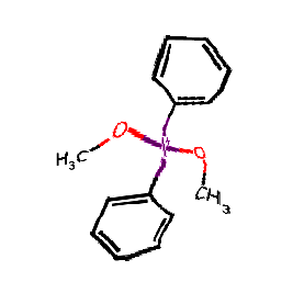 CO[I+](OC)(c1ccccc1)c1ccccc1